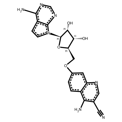 N#Cc1cnc2cc(OC[C@H]3O[C@@H](n4ccc5c(N)ncnc54)[C@H](O)[C@@H]3O)ccc2c1N